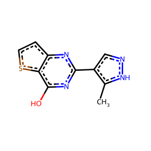 Cc1[nH]ncc1-c1nc(O)c2sccc2n1